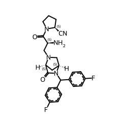 N#C[C@@H]1CCCN1C(=O)[C@@H](N)CN1C[C@@H]2C[C@H]1C(=O)N2C(c1ccc(F)cc1)c1ccc(F)cc1